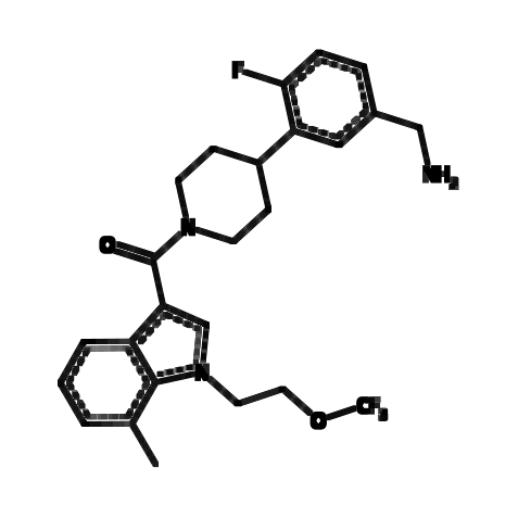 Cc1cccc2c(C(=O)N3CCC(c4cc(CN)ccc4F)CC3)cn(CCOC(F)(F)F)c12